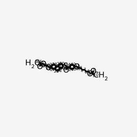 C=CC(=O)OCCCCCCOc1ccc(C(=O)Sc2ccc3c(ccc4cc(OCCOC(=O)C=C)ccc43)c2)cc1